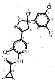 O=C(Nc1ncc(C2=NOC(c3cc(Cl)cc(Cl)c3)(C(F)(F)F)C2)cc1Cl)C1CC1